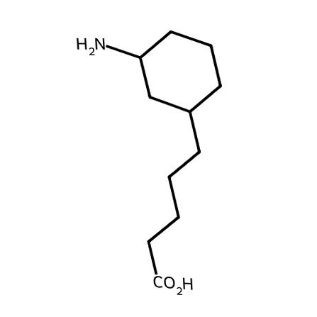 NC1CCCC(CCCCC(=O)O)C1